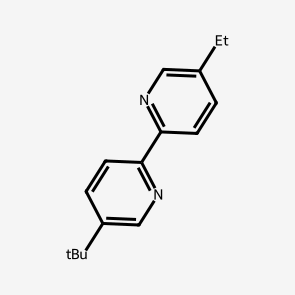 CCc1ccc(-c2ccc(C(C)(C)C)cn2)nc1